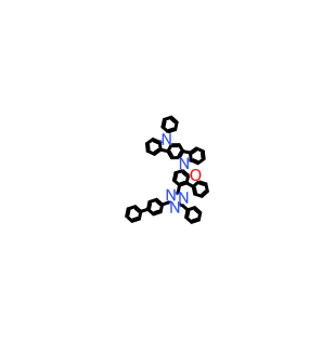 c1ccc(-c2ccc(-c3nc(-c4ccccc4)nc(-c4ccc(-n5c6ccccc6c6cc7c(cc65)c5ccccc5n7-c5ccccc5)c5oc6ccccc6c45)n3)cc2)cc1